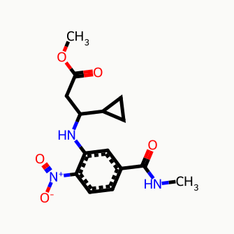 CNC(=O)c1ccc([N+](=O)[O-])c(NC(CC(=O)OC)C2CC2)c1